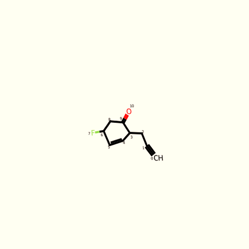 C#CCC1C=CC(F)CC1=O